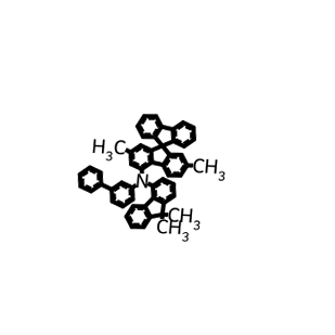 Cc1ccc2c(c1)C1(c3ccccc3-c3ccccc31)c1cc(C)cc(N(c3cccc(-c4ccccc4)c3)c3cccc4c3-c3ccccc3C4(C)C)c1-2